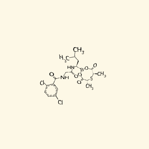 CC(C)C[C@H](NC(=O)CNC(=O)c1cc(Cl)ccc1Cl)B1OC(=O)[C@@H](C)S[C@H](C)C(=O)O1